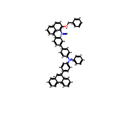 C=Nc1c(OCc2ccccc2)ccc2cccc(-c3ccc(-c4ccc(N(c5ccccc5)c5ccc(-c6cc7ccccc7c7ccccc67)cc5)cc4)cc3)c12